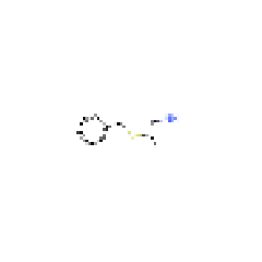 CC(CN)SCc1ccccc1